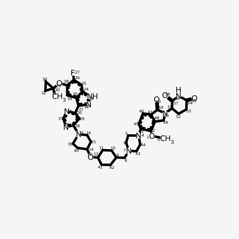 COc1c(N2CCN(CC3CCC(OC4CCN(c5cc(-c6n[nH]c7cc(F)c(OC8(C)CC8)cc67)ncn5)CC4)CC3)CC2)ccc2c1CN(C1CCC(=O)NC1=O)C2=O